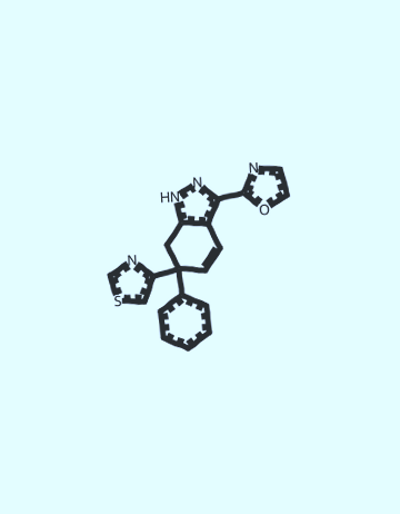 C1=CC(c2ccccc2)(c2cscn2)Cc2[nH]nc(-c3ncco3)c21